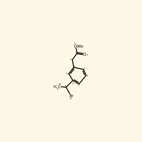 COC(=O)Cc1cccc(C(C)Br)c1